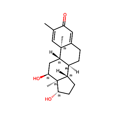 CC1=C[C@@]2(C)C(=CC1=O)CC[C@H]1[C@@H]3CC[C@H](O)[C@@]3(C)[C@@H](O)C[C@@H]12